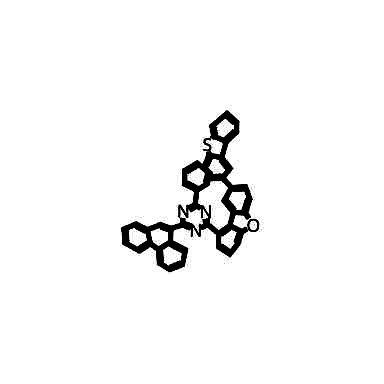 c1ccc(-c2nc(-c3cc4ccccc4c4ccccc34)nc(-c3cccc4oc5ccc(-c6ccc7sc8ccccc8c7c6)cc5c34)n2)cc1